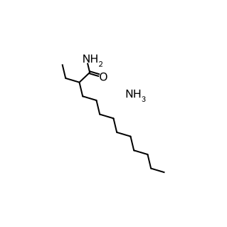 CCCCCCCCCCC(CC)C(N)=O.N